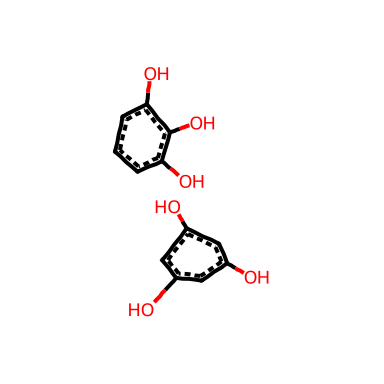 Oc1cc(O)cc(O)c1.Oc1cccc(O)c1O